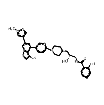 Cn1cc(-c2cc(-c3ccc(N4CCC(C[C@@H](O)CNC(=O)c5ccccc5O)CC4)nc3)c3c(C#N)cnn3c2)cn1